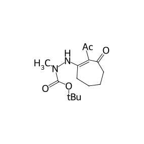 CC(=O)C1=C(NN(C)C(=O)OC(C)(C)C)CCCCC1=O